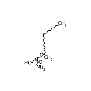 C=C(CCCCCCC/C=C\CCCCCCCC)OCCN(CCO)C(=O)CN